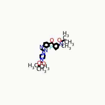 CC(C)C(=O)N(C)c1ccc(F)c(C(=O)c2ccc3ncc(N4CCN(C(=O)OC(C)(C)C)CC4)nc3c2)c1